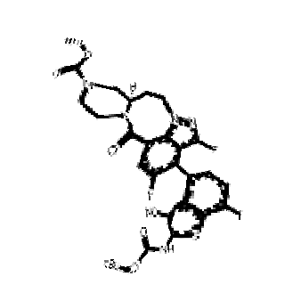 CC(C)(C)OC(=O)Nc1sc2c(F)ccc(-c3c(F)cc4c5c3c(F)nn5CC[C@@H]3CN(C(=O)OC(C)(C)C)CCN3C4=O)c2c1C#N